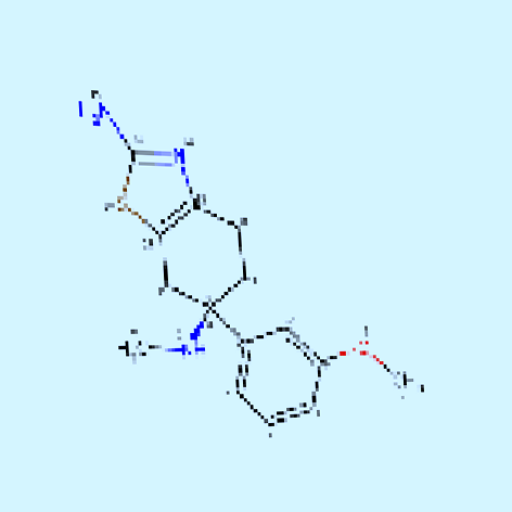 CN[C@]1(c2cccc(OC)c2)CCc2nc(N)sc2C1